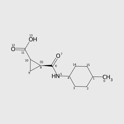 CC1CCC(NC(=O)[C@H]2CC2C(=O)O)CC1